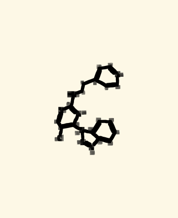 Clc1cnc(NCCc2ccncc2)nc1-n1nnc2ccccc21